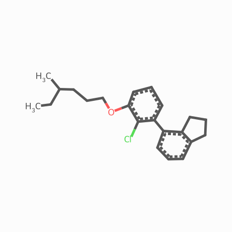 CCC(C)CCCOc1cccc(-c2cccc3c2CCC3)c1Cl